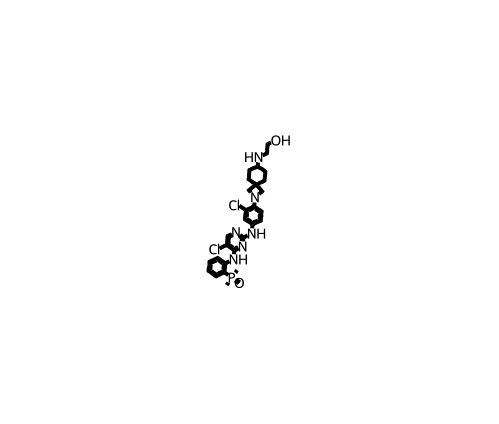 CP(C)(=O)c1ccccc1Nc1nc(Nc2ccc(N3CC4(CCC(NCCO)CC4)C3)c(Cl)c2)ncc1Cl